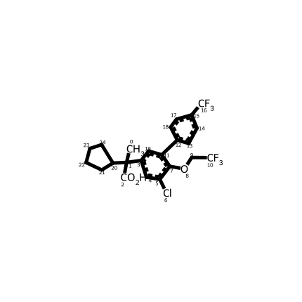 CC(C(=O)O)(c1cc(Cl)c(OCC(F)(F)F)c(-c2ccc(C(F)(F)F)cc2)c1)C1CCCC1